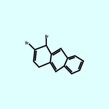 BrC1=CCc2cc3ccccc3cc2C1Br